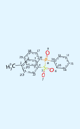 Cc1ccc(S(=O)(=O)P(=O)(c2ccccc2)c2ccccc2)cc1